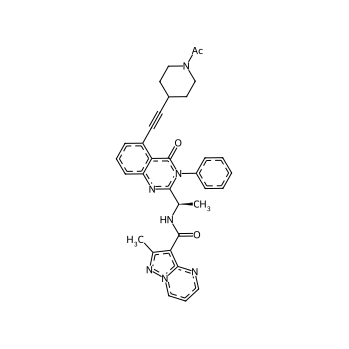 CC(=O)N1CCC(C#Cc2cccc3nc([C@@H](C)NC(=O)c4c(C)nn5cccnc45)n(-c4ccccc4)c(=O)c23)CC1